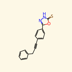 S=c1[nH]nc(-c2ccc(C#CCc3ccccc3)cc2)o1